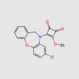 CCOc1c(N2Cc3ccccc3Oc3ccc(Cl)cc32)c(=O)c1=O